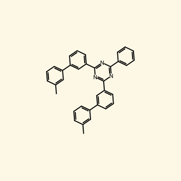 Cc1cccc(-c2cccc(-c3nc(-c4ccccc4)nc(-c4cccc(-c5cccc(C)c5)c4)n3)c2)c1